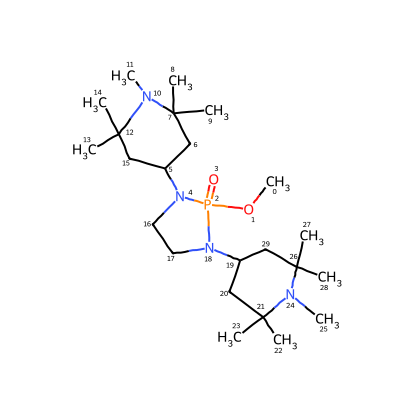 COP1(=O)N(C2CC(C)(C)N(C)C(C)(C)C2)CCN1C1CC(C)(C)N(C)C(C)(C)C1